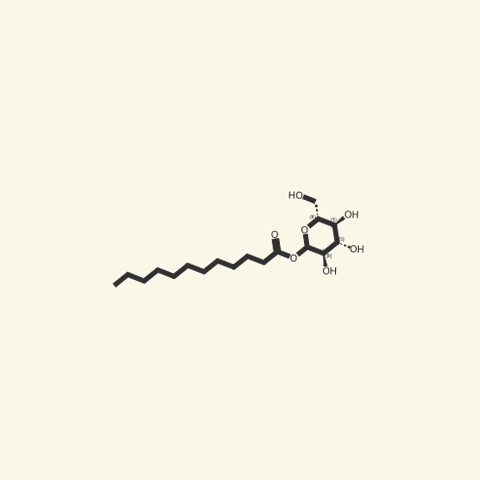 CCCCCCCCCCCC(=O)OC1O[C@H](CO)[C@@H](O)[C@H](O)[C@H]1O